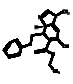 CCOC(=O)C1=C(O)C=C2[C@H](N=CN2C)C1CSc1ccccc1